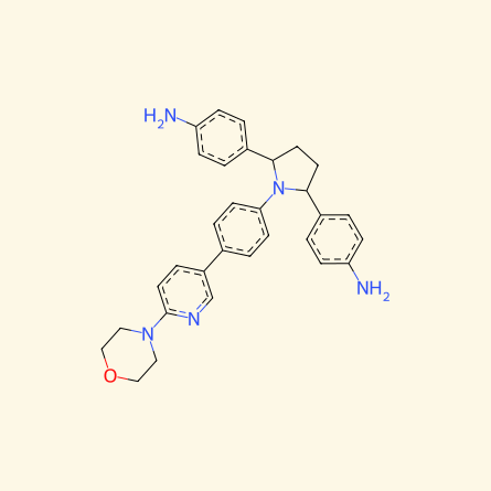 Nc1ccc(C2CCC(c3ccc(N)cc3)N2c2ccc(-c3ccc(N4CCOCC4)nc3)cc2)cc1